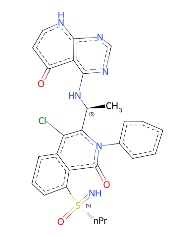 CCC[S@](=N)(=O)c1cccc2c(Cl)c([C@H](C)Nc3ncnc4[nH]ccc(=O)c34)n(-c3ccccc3)c(=O)c12